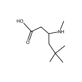 CNC(CC(=O)O)CC(C)(C)C